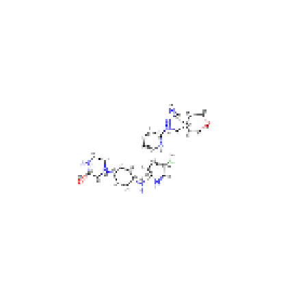 N#CC1(CNc2cccc(-c3cc(NC4CCC(N5CCNC(=O)C5)CC4)ncc3Cl)n2)CCOCC1